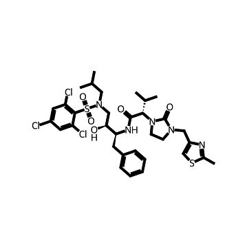 Cc1nc(CN2CCN([C@H](C(=O)N[C@@H](Cc3ccccc3)[C@@H](O)CN(CC(C)C)S(=O)(=O)c3c(Cl)cc(Cl)cc3Cl)C(C)C)C2=O)cs1